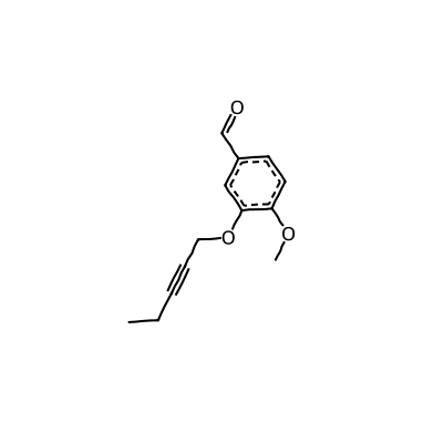 CCC#CCOc1cc(C=O)ccc1OC